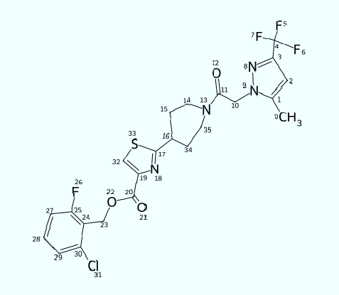 Cc1cc(C(F)(F)F)nn1CC(=O)N1CCC(c2nc(C(=O)OCc3c(F)cccc3Cl)cs2)CC1